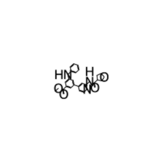 COC(=O)c1cc(Nc2ccccc2)cc(-c2ccnc(NC(=O)C3CCOC3)c2)c1